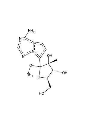 C[C@@]1(O)[C@H](O)[C@@H](CO)OC1(ON)c1ccc2c(N)ncnn12